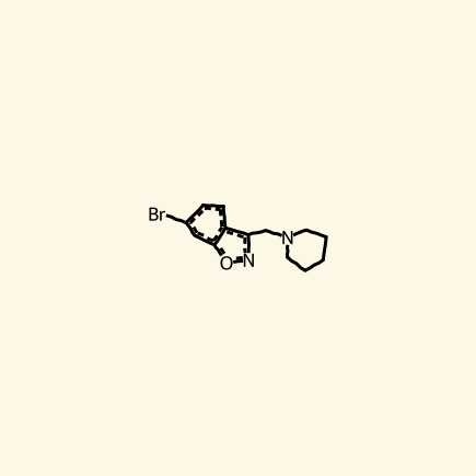 Brc1ccc2c(CN3CCCCC3)noc2c1